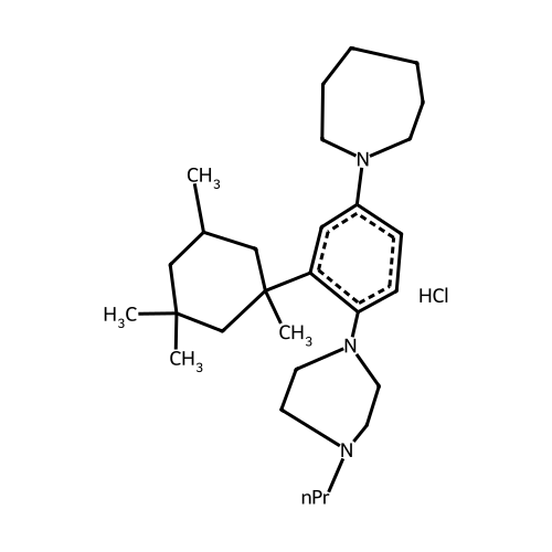 CCCN1CCN(c2ccc(N3CCCCCC3)cc2C2(C)CC(C)CC(C)(C)C2)CC1.Cl